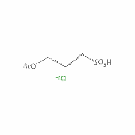 CC(=O)OCCCS(=O)(=O)O.Cl